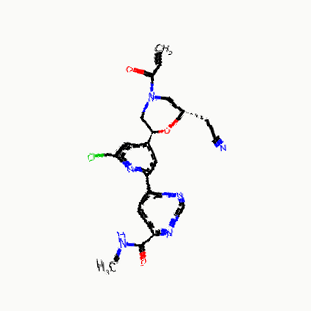 C=CC(=O)N1C[C@H](CC#N)O[C@@H](c2cc(Cl)nc(-c3cc(C(=O)NC)ncn3)c2)C1